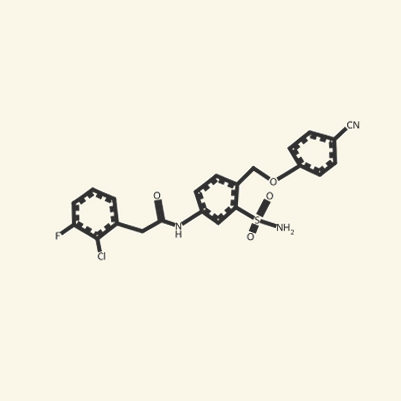 N#Cc1ccc(OCc2ccc(NC(=O)Cc3cccc(F)c3Cl)cc2S(N)(=O)=O)cc1